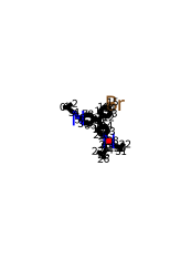 CC(C)CCN=C1C=CC(=C(c2ccc(Br)cc2)c2ccc(N(CCC(C)C)CCC(C)C)cc2)C=C1